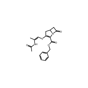 CC(=O)NC(C)=CSC1=C(C(=O)OCc2ccccc2)N2C(=O)CC2C1